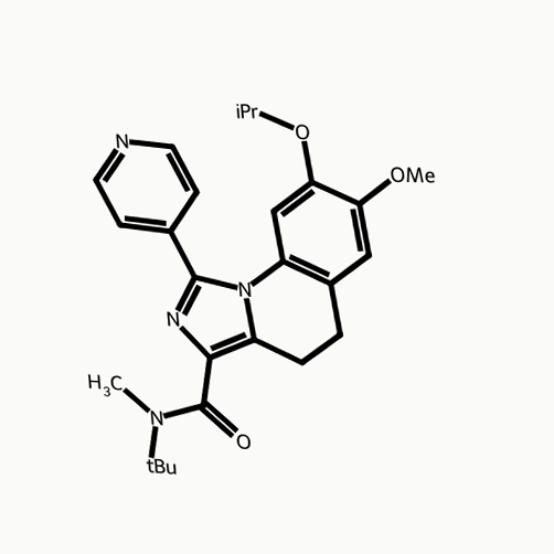 COc1cc2c(cc1OC(C)C)-n1c(-c3ccncc3)nc(C(=O)N(C)C(C)(C)C)c1CC2